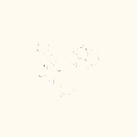 Cc1nc(Nc2ccc3c(c2)/C(=C\c2ccccc2)C(=O)N3Cc2ccccc2)c2ccccc2n1